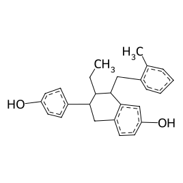 CCC1C(c2ccc(O)cc2)Cc2ccc(O)cc2C1Cc1ccccc1C